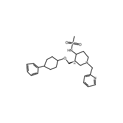 CS(=O)(=O)NC1CCN(Cc2ccccn2)C[C@H]1COC1CCC(c2ccccc2)CC1